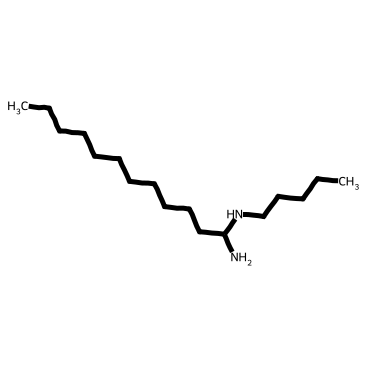 CCCCCCCCCCCC(N)NCCCCC